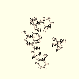 O=C(Cn1c(Cl)cnc(NCC(F)(F)c2cccc[n+]2[O-])c1=O)NCc1ncccc1-n1cnnn1.O=C(O)C(F)(F)F